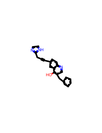 Oc1c(Cc2ccccc2)cnc2ccc(C#CCc3ncc[nH]3)cc12